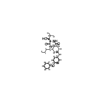 CCCCN1C(=O)[C@H]([C@@H](O)C(C)C)NC(=O)C12CCN(Cc1ccc(Oc3ccccc3)nc1)CC2